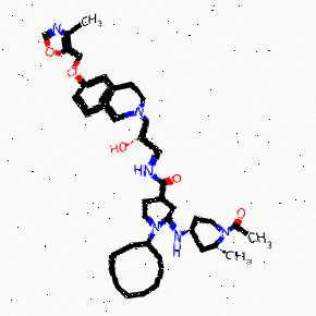 CC(=O)N1CC[C@H](NC2CC(C(=O)NC[C@H](O)CN3CCc4cc(OCc5ocnc5C)ccc4C3)CCN2C2CCCCCCCCC2)C[C@H]1C